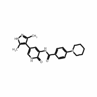 Cc1n[nH]c(C)c1-c1c[nH]c(=O)c(NC(=O)c2ccc(N3CCCCC3)cc2)c1